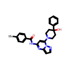 CC(C)(C)c1ccc(C(=O)Nc2cc(N3CCC(O)(c4ccccc4)CC3)n3nccc3n2)cc1